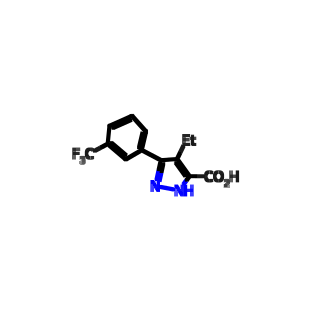 CCc1c(-c2cccc(C(F)(F)F)c2)n[nH]c1C(=O)O